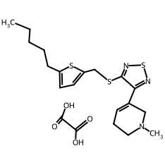 CCCCCc1ccc(CSc2nsnc2C2=CCCN(C)C2)s1.O=C(O)C(=O)O